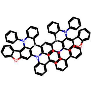 c1ccc(-c2ccccc2N2c3cc4c(cc3B3c5ccccc5N(c5ccccc5)c5c3c2cc2oc3ccccc3c52)B2c3ccccc3N(c3ccccc3)c3c2c(cc2oc5ccccc5c32)N4c2ccccc2-c2ccccc2)cc1